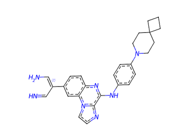 N=C/C(=C\N)c1ccc2nc(Nc3ccc(N4CCC5(CCC5)CC4)cc3)c3nccn3c2c1